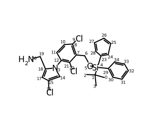 CC(C)(C)[Si](OCc1c(Cl)ccc(-n2cc(Cl)cc2CN)c1Cl)(c1ccccc1)c1ccccc1